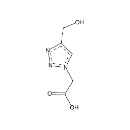 O=C(O)Cn1cc(CO)nn1